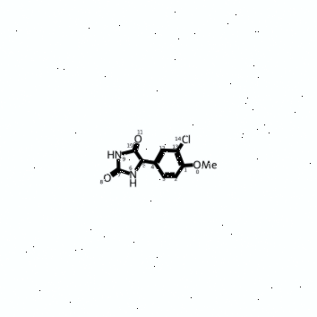 COc1ccc(C2NC(=O)NC2=O)cc1Cl